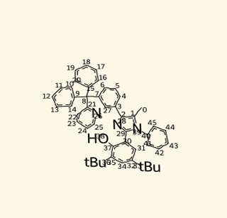 Cc1c(-c2cccc(C(c3ccccc3)(c3ccccc3)c3ccccn3)c2)nc(-c2cc(C(C)(C)C)cc(C(C)(C)C)c2O)n1-c1ccccc1